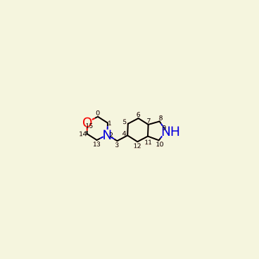 C1CN(CC2CCC3CNCC3C2)CCO1